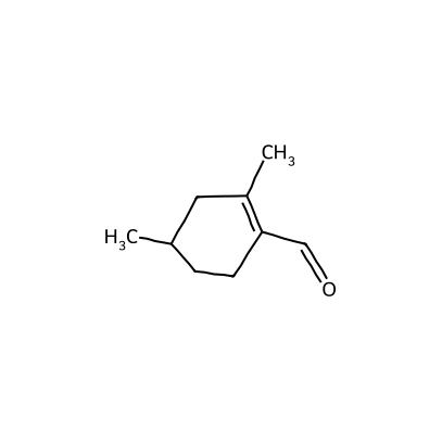 CC1=C(C=O)CCC(C)C1